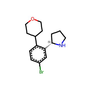 Brc1ccc(C2CCOCC2)c([C@@H]2CCCN2)c1